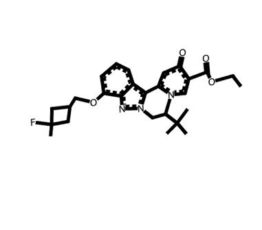 CCOC(=O)c1cn2c(cc1=O)-c1c3cccc(OCC4CC(C)(F)C4)c3nn1CC2C(C)(C)C